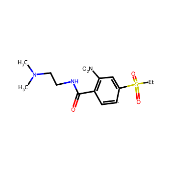 CCS(=O)(=O)c1[c]cc(C(=O)NCCN(C)C)c([N+](=O)[O-])c1